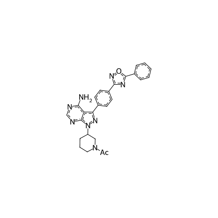 CC(=O)N1CCCC(n2nc(-c3ccc(-c4noc(-c5ccccc5)n4)cc3)c3c(N)ncnc32)C1